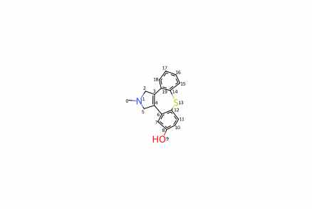 CN1CC2=C(C1)c1cc(O)ccc1Sc1ccccc12